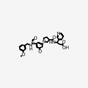 COc1cccc(CNN(C=O)C2=CC(=O)CC(N3CCC(C(=O)NC(CC(=O)O)c4cccnc4)C3)=C2)c1